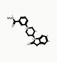 CNC(=O)c1cccc(N2CCC(N3C(=O)Cc4ccccc43)CC2)c1